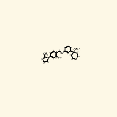 COC1(c2cccc(OCc3ccc(-n4ccnc4C)cc3F)c2)CCOCC1